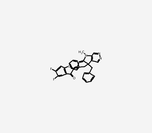 CN1/C(=C/C=C2\Oc3cc(F)c(F)cc3C2=O)C(Cc2ccccc2)(Cc2ccccc2)c2cnncc21